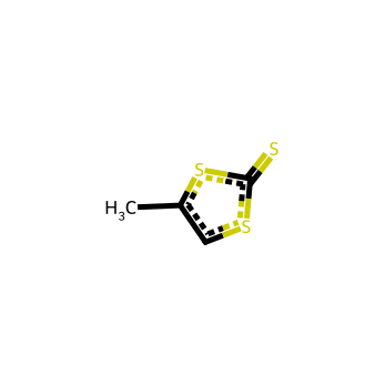 Cc1csc(=S)s1